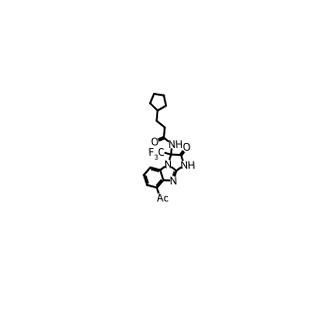 CC(=O)c1cccc2c1nc1n2C(NC(=O)CCC2CCCC2)(C(F)(F)F)C(=O)N1